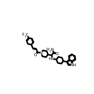 NC(=O)C(NC1CCC(c2c[nH]c3ccccc23)CC1)C1CCN(C(=O)/C=C/C2C=CC(C(F)(F)F)=CC2)CC1